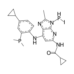 Cc1nc2c(Nc3ccc(C4CC4)cc3P(C)C)cc(NC(=O)C3CC3)nc2n1PI